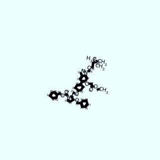 CCOC(=O)COc1cc2c(cnn2COCC[Si](C)(C)C)cc1C1=CCC(OC[C@H]2[C@H](OCc3ccccc3)CCN2C(=O)OCc2ccccc2)CC1